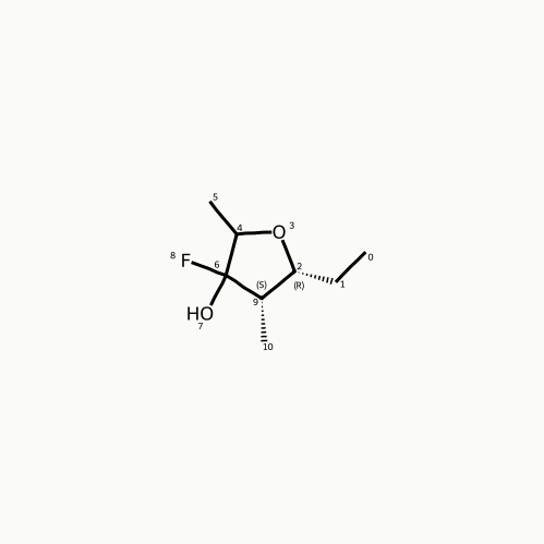 CC[C@H]1OC(C)C(O)(F)[C@H]1C